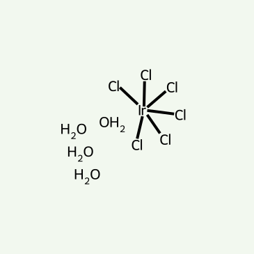 O.O.O.O.[Cl][Ir]([Cl])([Cl])([Cl])([Cl])[Cl]